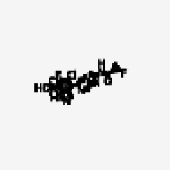 CC(C)(O)c1c(F)c(Cl)c(-c2cn3cc(NC(=O)[C@@H]4C[C@@H]4F)nc3cn2)c2cn[nH]c12